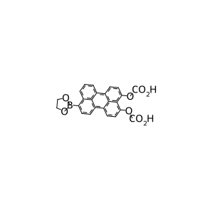 O=C(O)Oc1ccc2c3cccc4c(B5OCCO5)ccc(c5ccc(OC(=O)O)c1c25)c43